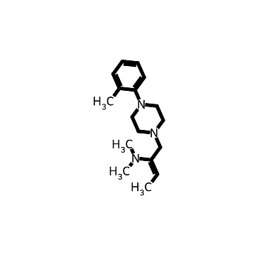 C/C=C(/CN1CCN(c2ccccc2C)CC1)N(C)C